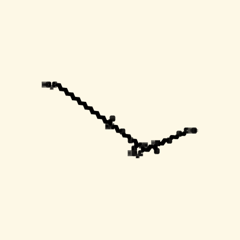 O=[C]COCCOCCNC(=O)CC[C@H](NC(=O)COCCOCCNC(=O)CCCCCCCCCCCCCCCCC(=O)O)C(=O)O